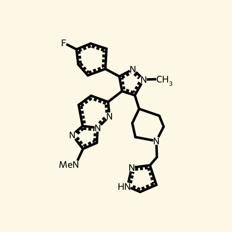 CNc1cn2nc(-c3c(-c4ccc(F)cc4)nn(C)c3C3CCN(Cc4cc[nH]n4)CC3)ccc2n1